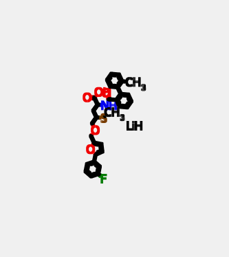 CSC(COCc1ccc(-c2cccc(F)c2)o1)CC(NC(=O)c1ccccc1-c1ccccc1C)C(=O)O.[LiH]